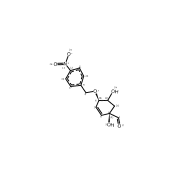 O=C[C@]1(O)C=C[C@@H](OCc2ccc([N+](=O)[O-])cc2)C(O)C1